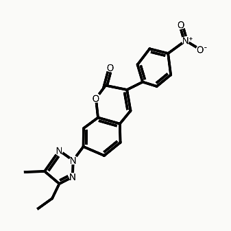 CCc1nn(-c2ccc3cc(-c4ccc([N+](=O)[O-])cc4)c(=O)oc3c2)nc1C